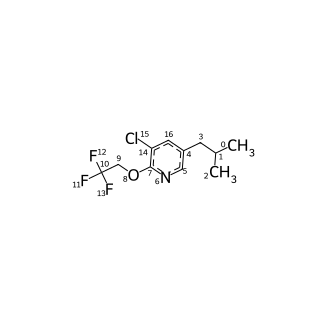 CC(C)Cc1cnc(OCC(F)(F)F)c(Cl)c1